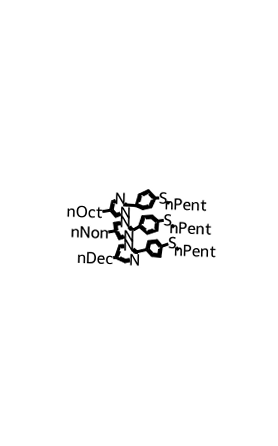 CCCCCCCCCCc1cnc(-c2ccc(SCCCCC)cc2)nc1.CCCCCCCCCc1cnc(-c2ccc(SCCCCC)cc2)nc1.CCCCCCCCc1cnc(-c2ccc(SCCCCC)cc2)nc1